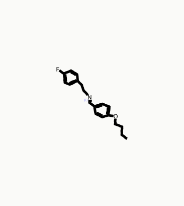 CCCCOc1ccc(/C=N/CCc2ccc(F)cc2)cc1